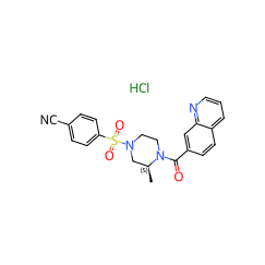 C[C@H]1CN(S(=O)(=O)c2ccc(C#N)cc2)CCN1C(=O)c1ccc2cccnc2c1.Cl